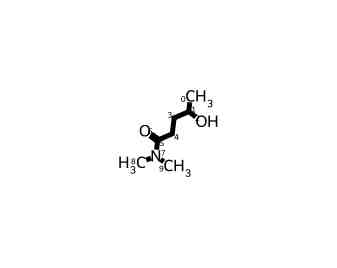 CC(O)CCC(=O)N(C)C